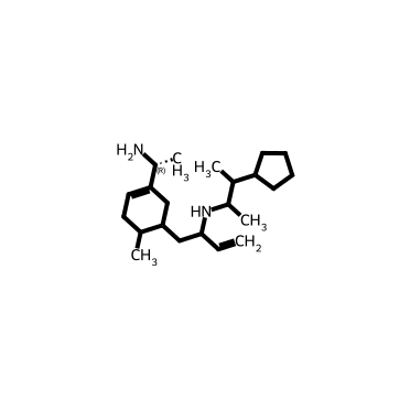 C=CC(CC1CC([C@@H](C)N)=CCC1C)NC(C)C(C)C1CCCC1